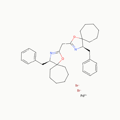 [Br-].[Br-].[Pd+2].c1ccc(C[C@H]2N=C(CC3=N[C@H](Cc4ccccc4)C4(CCCCCC4)O3)OC23CCCCCC3)cc1